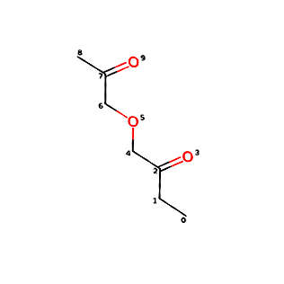 CCC(=O)COCC(C)=O